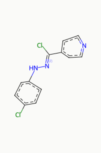 Cl/C(=N\Nc1ccc(Cl)cc1)c1ccncc1